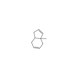 CC12C=CCC1CC=CC2